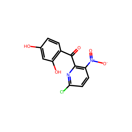 O=C(c1ccc(O)cc1O)c1nc(Cl)ccc1[N+](=O)[O-]